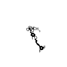 CCO[C@@H](Cc1ccc(OC/C=C/C#Cc2cc(F)cc(F)c2)c(I)c1)C(=O)O